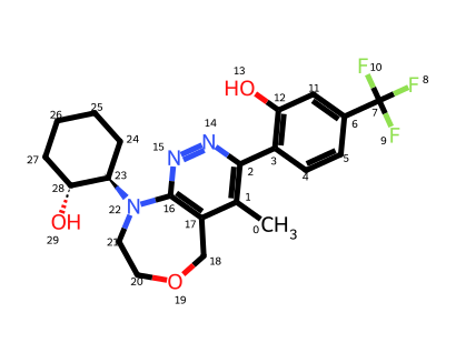 Cc1c(-c2ccc(C(F)(F)F)cc2O)nnc2c1COCCN2[C@@H]1CCCC[C@H]1O